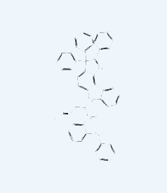 C=CCC(N(C)c1ccccc1Nc1ccccc1)n1c2ccccc2c2c3c(ccc21)C(c1ccccc1)(c1ccccc1)C(c1ccccc1)=N3